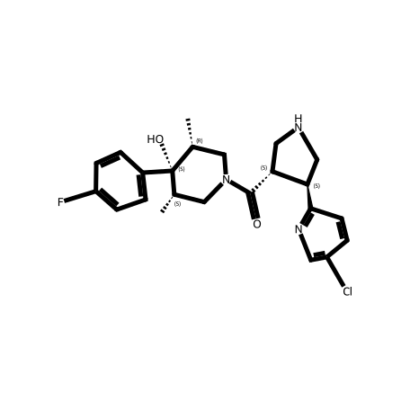 C[C@@H]1CN(C(=O)[C@@H]2CNC[C@H]2c2ccc(Cl)cn2)C[C@H](C)[C@@]1(O)c1ccc(F)cc1